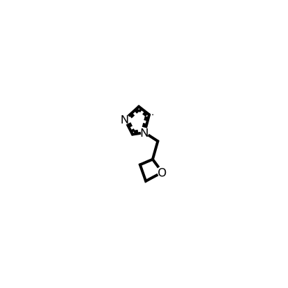 [c]1cncn1CC1CCO1